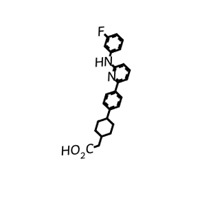 O=C(O)CC1CCC(c2ccc(-c3cccc(Nc4cccc(F)c4)n3)cc2)CC1